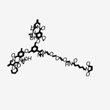 C=C1C[C@H]2[C@H](C)N(B(C)O)c3cc(OCc4cc(COc5cc6c(cc5C)C(=O)N5CC(=C)C[C@H]5[C@H](OC5CCCCO5)N6B(C)O)cc(-c5cn(CCOCCOCCOCCNC(=O)CCCCCN6C(=O)C=CC6=O)nn5)c4)c(OC)cc3C(=O)N2C1